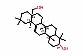 CC1(C)CC[C@]2(CO)CC[C@]3(C)C(=CC[C@@H]4[C@@]5(C)CC[C@H](O)C(C)(C)C5CC[C@]43C)[C@H]2C1